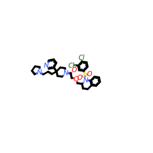 O=C(COCC1CCc2ccccc2N1S(=O)(=O)c1ccc(Cl)c(Cl)c1)N1CCC(CCCN2CCCC2)(c2cccnc2)CC1